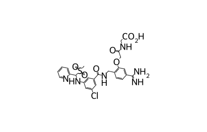 CS(=O)(=O)C(Nc1cc(Cl)cc(C(=O)NCc2ccc(C(=N)N)cc2OCC(=O)NCC(=O)O)c1)c1ccccn1